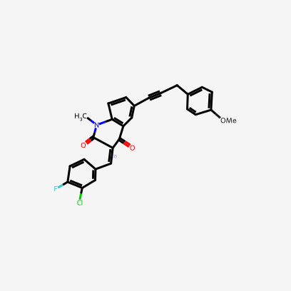 COc1ccc(CC#Cc2ccc3c(c2)C(=O)/C(=C/c2ccc(F)c(Cl)c2)C(=O)N3C)cc1